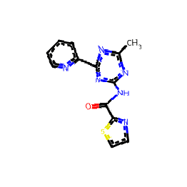 Cc1nc(NC(=O)c2nccs2)nc(-c2ccccn2)n1